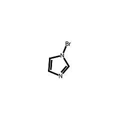 Brn1ccnc1